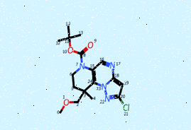 COCC1(C)CCN(C(=O)OC(C)(C)C)c2cnc3cc(Cl)nn3c21